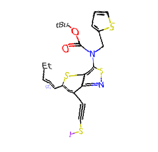 CC/C=C\c1sc2c(N(Cc3cccs3)C(=O)OC(C)(C)C)snc2c1C#CSI